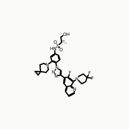 C[C@@H](CO)S(=O)(=O)Nc1ccc(-n2cc(-c3cc4cccnc4c(N4CCC(F)(F)CC4)c3F)nn2)c(N2CCC3(CC2)CC3)c1